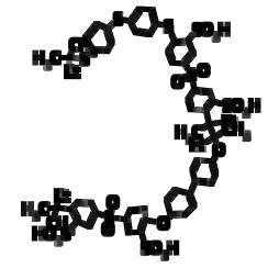 CCC(C)(C)Sc1ccc(Sc2ccc(Sc3ccc(S(=O)(=O)c4ccc(C(C)(CC)C(C)(CC)Oc5ccc(-c6ccc(Oc7ccc(S(=O)(=O)c8ccc(C(C)(C)CC)c(S(=O)(=O)O)c8)cc7S(=O)(=O)O)cc6)cc5)c(S(=O)(=O)O)c4)cc3S(=O)(=O)O)cc2)cc1